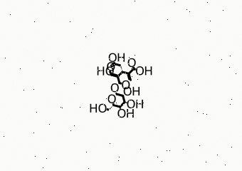 O=C(O)C[C@@H]1C(C(=O)O)=CO[C@H](O[C@H]2O[C@@H](CO)[C@H](O)[C@@H](O)[C@@H]2O)/C1=C/O